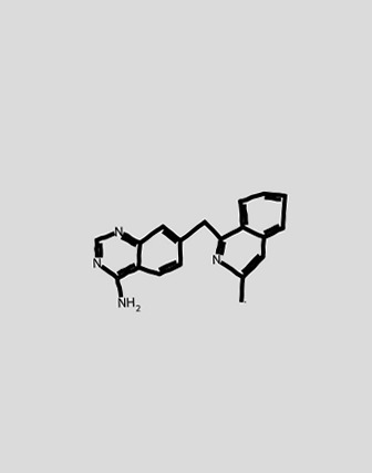 [CH2]c1cc2ccccc2c(Cc2ccc3c(N)ncnc3c2)n1